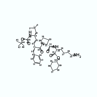 CC(C)C[C@@H](/C=C/[C@H](Cc1ccccc1)C(=O)N1CCC[C@@H]1C(=O)NC(CCCCN)C(=O)OC1CCCCC1)NC(=O)OC(C)(C)C